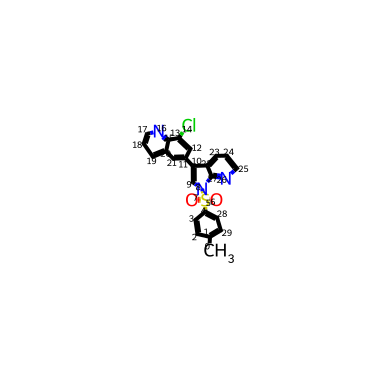 Cc1ccc(S(=O)(=O)n2cc(-c3cc(Cl)c4ncccc4c3)c3cccnc32)cc1